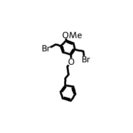 COc1cc(CBr)c(OCCCc2ccccc2)cc1CBr